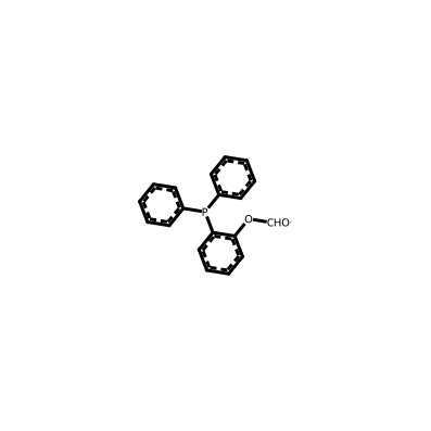 O=[C]Oc1ccccc1P(c1ccccc1)c1ccccc1